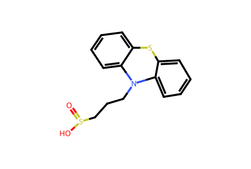 O=S(O)CCCN1c2ccccc2Sc2ccccc21